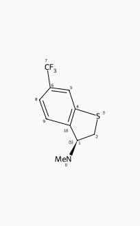 CN[C@@H]1CSc2cc(C(F)(F)F)ccc21